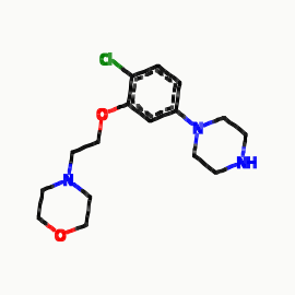 Clc1ccc(N2CCNCC2)cc1OCCN1CCOCC1